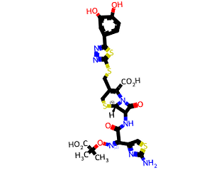 CC(C)(O/N=C(\C(=O)NC1C(=O)N2C(C(=O)O)=C(CSc3nnc(-c4ccc(O)c(O)c4)s3)CS[C@@H]12)c1csc(N)n1)C(=O)O